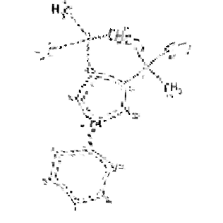 CC(C)(C)c1cn(-c2ccccn2)nc1C(C)(C)C